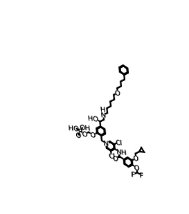 O=C(Nc1c(Cl)c[n+](Cc2ccc(C(O)CNCCCCCCOCCCCc3ccccc3)cc2OCOP(=O)(O)O)cc1Cl)c1ccc(OC(F)F)c(OCC2CC2)c1